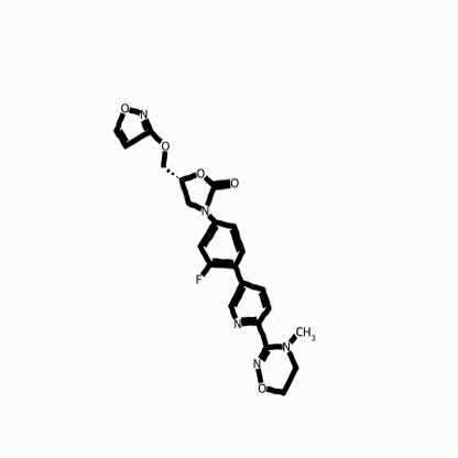 CN1CCON=C1c1ccc(-c2ccc(N3C[C@H](COc4ccon4)OC3=O)cc2F)cn1